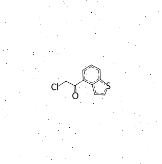 O=C(CCl)c1cccc2sccc12